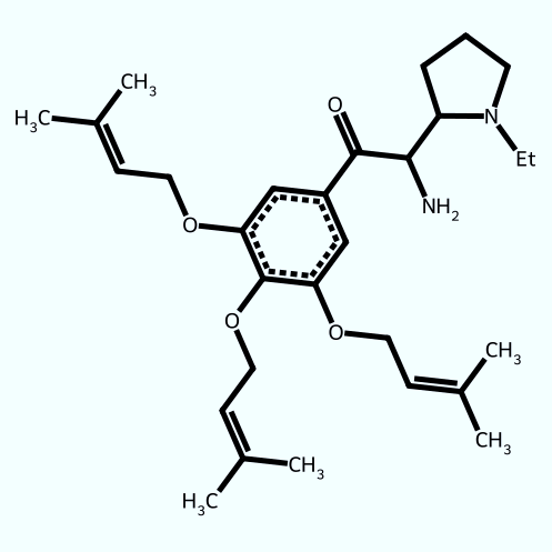 CCN1CCCC1C(N)C(=O)c1cc(OCC=C(C)C)c(OCC=C(C)C)c(OCC=C(C)C)c1